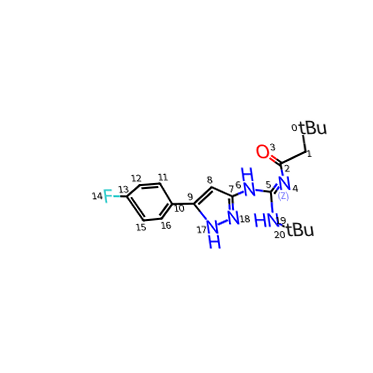 CC(C)(C)CC(=O)/N=C(\Nc1cc(-c2ccc(F)cc2)[nH]n1)NC(C)(C)C